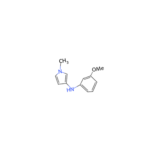 COc1cccc(Nc2ccn(C)c2)c1